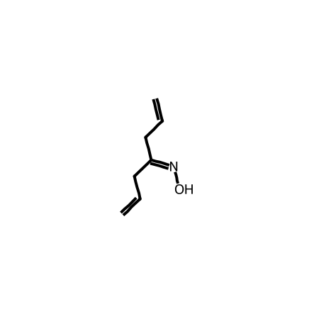 C=CCC(CC=C)=NO